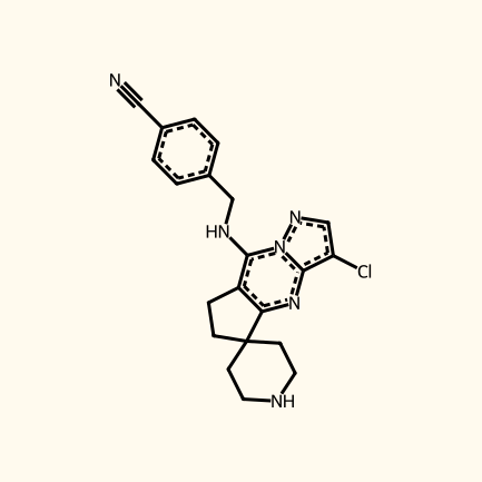 N#Cc1ccc(CNc2c3c(nc4c(Cl)cnn24)C2(CCNCC2)CC3)cc1